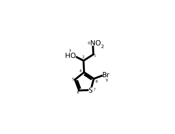 O=[N+]([O-])CC(O)c1ccsc1Br